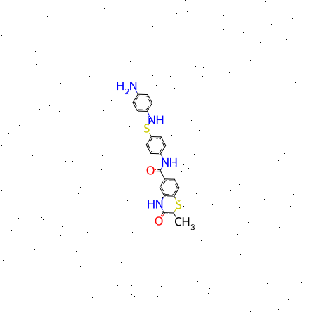 CC1Sc2ccc(C(=O)Nc3ccc(SNc4ccc(N)cc4)cc3)cc2NC1=O